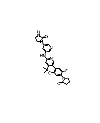 CC1(C)Oc2cc(N3CCCC3=O)c(F)cc2-c2cnc(Nc3cncc(N4CCNC4=O)c3)cc21